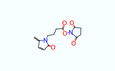 C=C1C=CC(=O)N1CCCC(=O)ON1C(=O)CCC1=O